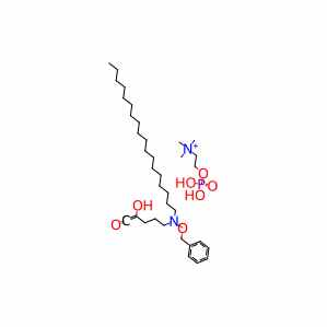 CCCCCCCCCCCCCCCCCCN(CCCC(O)=C=O)OCc1ccccc1.C[N+](C)(C)CCOP(=O)(O)O